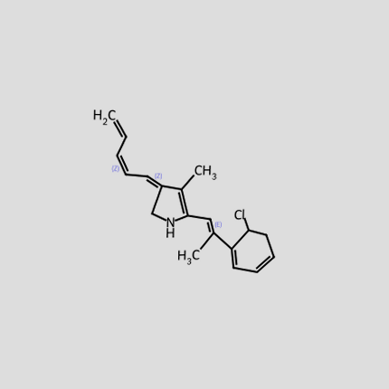 C=C/C=C\C=C1/CNC(/C=C(\C)C2=CC=CCC2Cl)=C1C